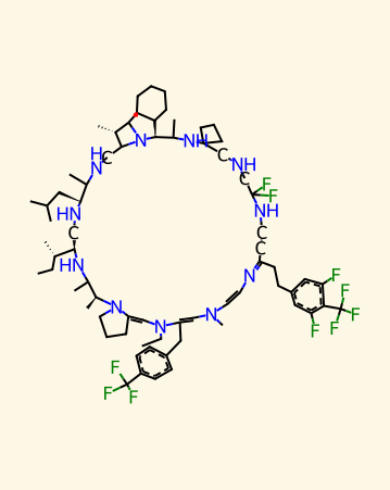 CC[C@H](C)[C@H]1CN[C@@H](CC(C)C)C(C)NCC2[C@H](C)C(C)N2[C@@H](C2CCCCC2)C(C)NC2(CCC2)CNCC(F)(F)NCCC(CCc2cc(F)c(C(F)(F)F)c(F)c2)=NC=CN(C)C=C(Cc2ccc(C(F)(F)F)cc2)N(CC)C=C2CCCN2[C@@H](C)C(C)N1